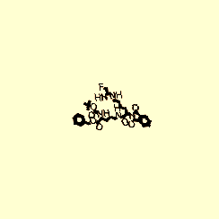 CC(C)(C)OC(=O)NC(CCCNC(=O)C(CCCCNC(=N)CF)N1C(=O)c2ccccc2C1=O)C(=O)OCc1ccccc1